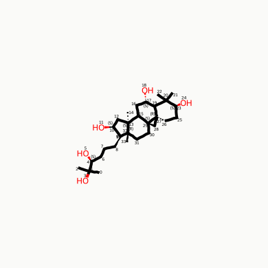 CC(C)(O)[C@@H](O)CCC[C@H]1[C@@H](O)C[C@@]2(C)C3C[C@H](O)C4C(C)(C)[C@@H](O)CC[C@@]45C[C@@]35CC[C@]12C